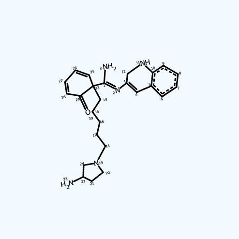 NC(=NC1=Cc2ccccc2NC1)C1(CCCCCN2CCC(N)C2)C=CC=CC1=O